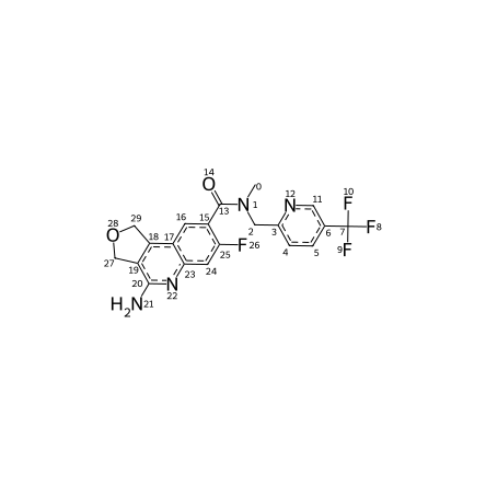 CN(Cc1ccc(C(F)(F)F)cn1)C(=O)c1cc2c3c(c(N)nc2cc1F)COC3